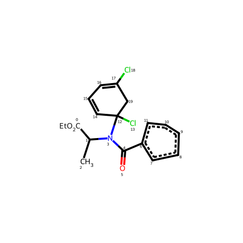 CCOC(=O)C(C)N(C(=O)c1ccccc1)C1(Cl)C=CC=C(Cl)C1